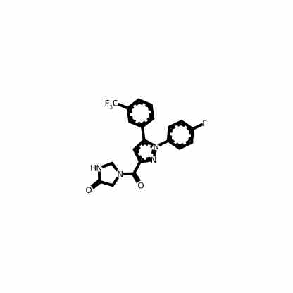 O=C1CN(C(=O)c2cc(-c3cccc(C(F)(F)F)c3)n(-c3ccc(F)cc3)n2)CN1